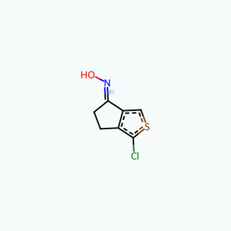 O/N=C1\CCc2c1csc2Cl